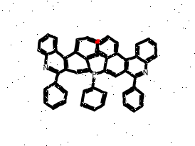 c1ccc(-c2nc3ccccc3c3c2cc(P(c2ccccc2)c2cc4c(-c5ccccc5)nc5ccccc5c4c4ccccc24)c2ccccc23)cc1